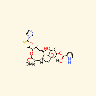 CO[C@@H]1C[C@H]2C=CC3C4[C@H](O)[C@@H](C)[C@@H](OC(=O)c5ccc[nH]5)[C@@H]3O[C@]42/C(C)=C/[C@@H](C)C(C(C)OC(=S)n2ccnc2)OC1=O